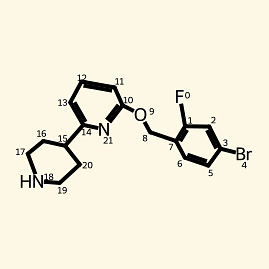 Fc1cc(Br)ccc1COc1cccc(C2CCNCC2)n1